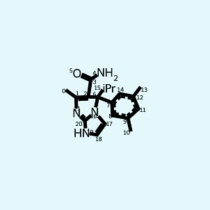 CC1=C(C(N)=O)C(c2cc(C)cc(C)c2)(C(C)C)N2C=CNC2=N1